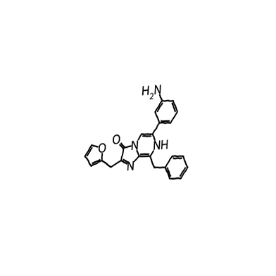 Nc1cccc(-c2cn3c(=O)c(Cc4ccco4)nc-3c(Cc3ccccc3)[nH]2)c1